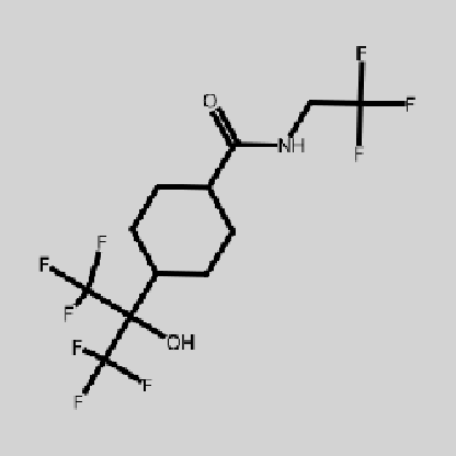 O=C(NCC(F)(F)F)C1CCC(C(O)(C(F)(F)F)C(F)(F)F)CC1